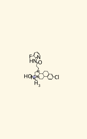 C[C@]12CCC3c4ccc(Cl)cc4CCC3C1[C@H](CCC(=O)Nc1ncccc1F)C/C2=N\O